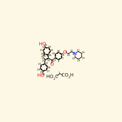 O=C(O)CC(=O)O.O=C(c1ccc(OCCN2CCCCC2)cc1)c1c(-c2ccc(O)cc2)sc2cc(O)ccc12